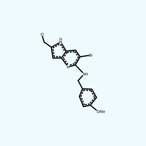 COc1ccc(CNc2nc3cc(CCl)[nH]c3cc2Br)cc1